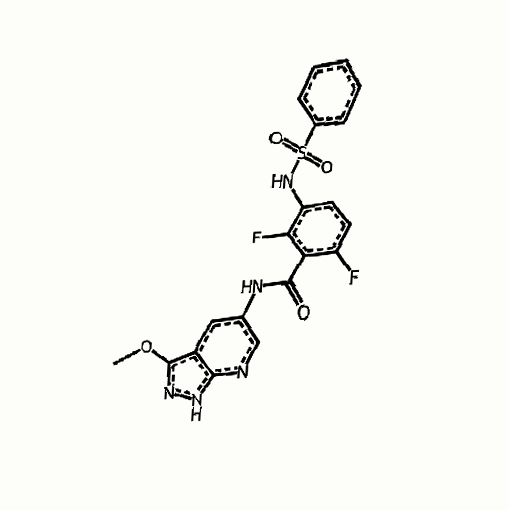 COc1n[nH]c2ncc(NC(=O)c3c(F)ccc(NS(=O)(=O)c4ccccc4)c3F)cc12